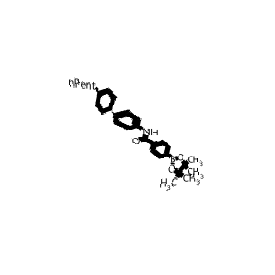 CCCCC[C@H]1CC[C@H](c2ccc(NC(=O)c3ccc(B4OC(C)(C)C(C)(C)O4)cc3)cc2)CC1